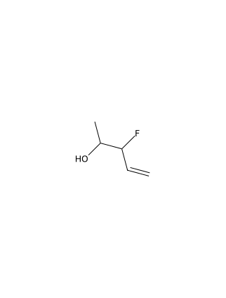 C=CC(F)C(C)O